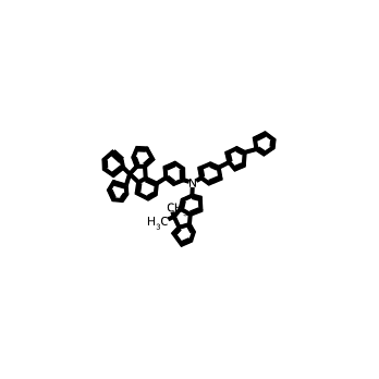 CC1(C)c2ccccc2-c2ccc(N(c3ccc(-c4ccc(-c5ccccc5)cc4)cc3)c3cccc(-c4cccc5c4-c4ccccc4C5(c4c#cccc4)c4ccccc4)c3)cc21